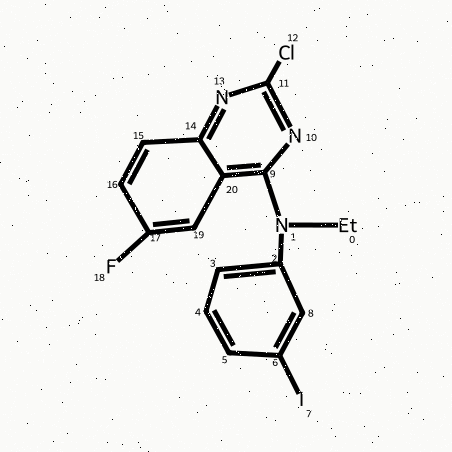 CCN(c1cccc(I)c1)c1nc(Cl)nc2ccc(F)cc12